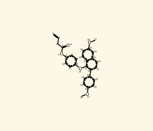 C=CCC(=O)Oc1ccc(Oc2c(-c3ccc(OC)cc3)ccc3cc(OC)ccc23)cc1